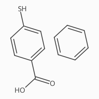 O=C(O)c1ccc(S)cc1.c1ccccc1